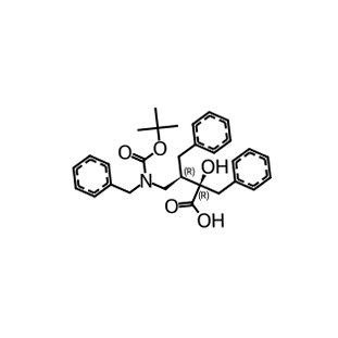 CC(C)(C)OC(=O)N(Cc1ccccc1)C[C@@H](Cc1ccccc1)[C@](O)(Cc1ccccc1)C(=O)O